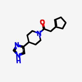 O=C(CC1=CCCC1)N1CCC(c2c[nH]cn2)CC1